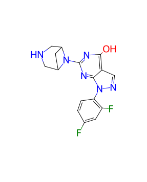 Oc1nc(N2C3CNCC2C3)nc2c1cnn2-c1ccc(F)cc1F